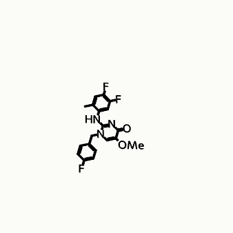 COc1cn(Cc2ccc(F)cc2)c(Nc2cc(F)c(F)cc2C)nc1=O